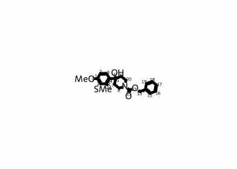 COc1ccc(C2(O)CCN(C(=O)OCc3ccccc3)CC2)c(SC)c1